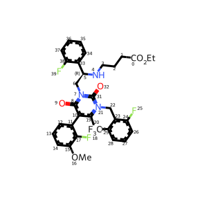 CCOC(=O)CCCN[C@@H](Cn1c(=O)c(-c2cccc(OC)c2F)c(C)n(Cc2c(F)cccc2C(F)(F)F)c1=O)c1ccccc1F